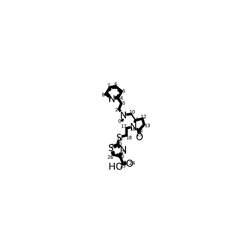 CN(CCc1ccccn1)C[C@H]1CCC(=O)N1CCSc1nc(C(=O)O)cs1